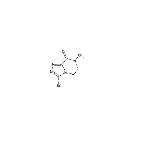 CN1CCn2c(Br)nnc2C1=O